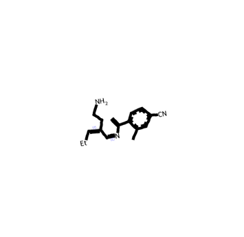 C=C(/N=C\C(=C/CC)CCN)c1ccc(C#N)cc1C